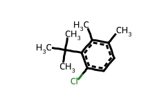 Cc1ccc(Cl)c(C(C)(C)C)c1C